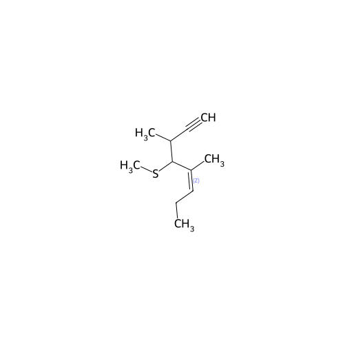 C#CC(C)C(SC)/C(C)=C\CC